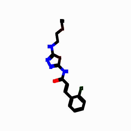 CCSCCNc1nnc(NC(=O)C=Cc2ccccc2Cl)s1